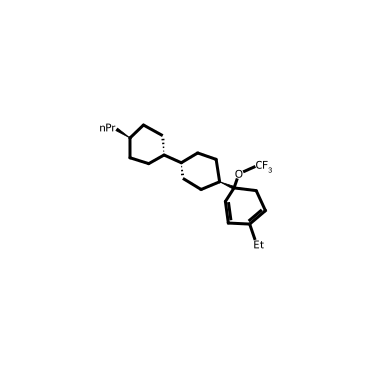 CCC[C@H]1CC[C@H]([C@H]2CC[C@H](C3(OC(F)(F)F)C=CC(CC)=CC3)CC2)CC1